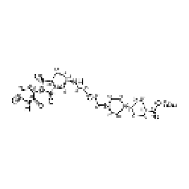 CCCCOC(=O)N1CCC(N2CCN(CCOCCNc3ccc4c(c3)C(=O)N(C3CCC(=O)NC3=O)C4=O)CC2)CC1